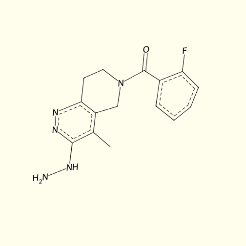 Cc1c(NN)nnc2c1CN(C(=O)c1ccccc1F)CC2